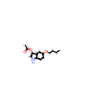 CCCCOc1ccc2[nH]cc(OC(C)=O)c2c1